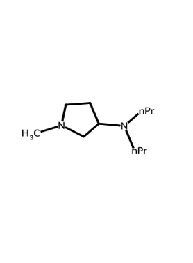 CCCN(CCC)C1CCN(C)C1